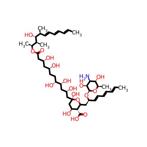 C/C=C/C=C/C=C/[C@@H](CC1O[C@](O)(C[C@@H](O)C[C@@H](O)[C@H](O)CC[C@@H](O)C[C@@H](O)CC(=O)O[C@@H](C)[C@H](C)[C@H](O)[C@@H](C)/C=C/C=C/C=C/C)C[C@H](O)[C@H]1C(=O)O)O[C@@H]1O[C@H](C)[C@@H](O)[C@H](N)[C@@H]1O